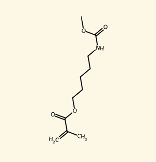 C=C(C)C(=O)OCCCCCNC(=O)OI